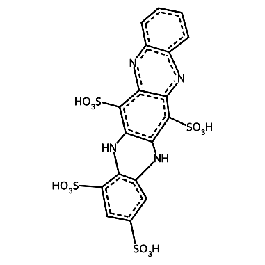 O=S(=O)(O)c1cc2c(c(S(=O)(=O)O)c1)Nc1c(c(S(=O)(=O)O)c3nc4ccccc4nc3c1S(=O)(=O)O)N2